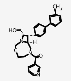 Cc1cccc(-c2ccc([C@H]3[C@@H](CO)N4CCCCN(C(=O)c5cccnc5)C[C@H]34)cc2)c1